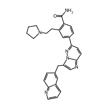 NC(=O)c1ccc(-c2ccc3ncc(Cc4ccc5ncccc5c4)n3n2)cc1CCN1CCCC1